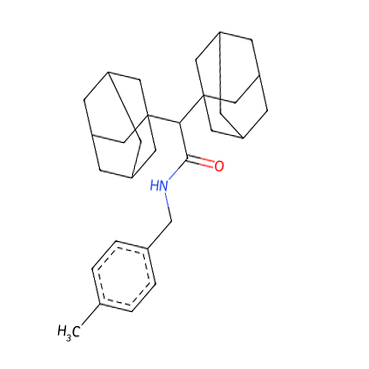 Cc1ccc(CNC(=O)C(C23CC4CC(CC(C4)C2)C3)C23CC4CC(CC(C4)C2)C3)cc1